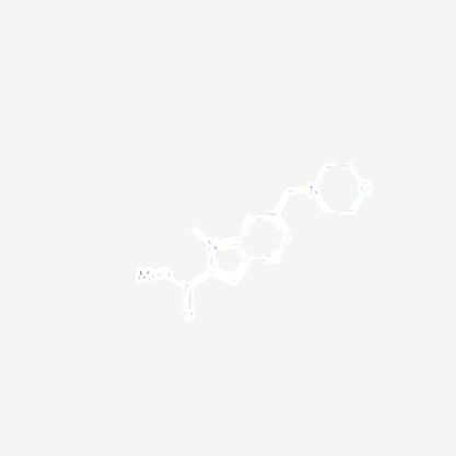 COC(=O)c1cc2ccc(CN3CCOCC3)cc2n1C